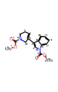 CC(C)(C)OC(=O)N1CCC=C(c2cn(C(=O)OC(C)(C)C)c3ccccc23)C1